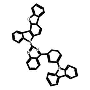 C1=CC2c3ccccc3OC2c2c1n(-c1nc(C3=CC(n4c5ccccc5c5ccccc54)=CCC3)c3ccccc3n1)c1ccccc21